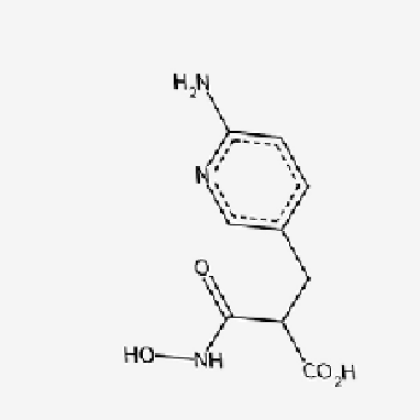 Nc1ccc(CC(C(=O)O)C(=O)NO)cn1